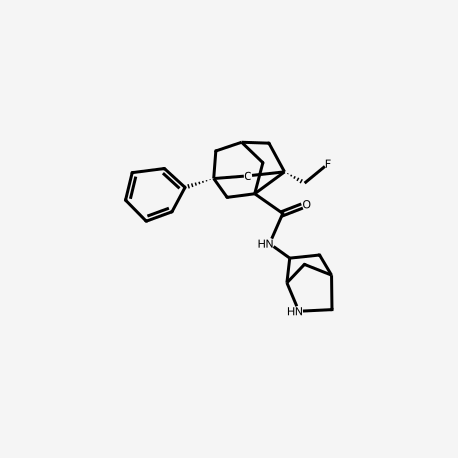 O=C(NC1CC2CNC1C2)C12CC3C[C@](c4ccccc4)(C1)C[C@@]2(CF)C3